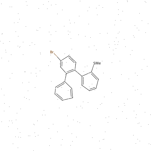 CSc1ccccc1-c1ccc(Br)cc1-c1ccccc1